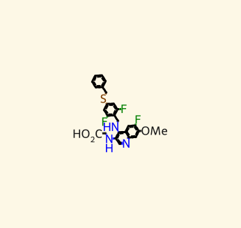 COc1cc2ncc(NCC(=O)O)c(NCc3c(F)cc(SCc4ccccc4)cc3F)c2cc1F